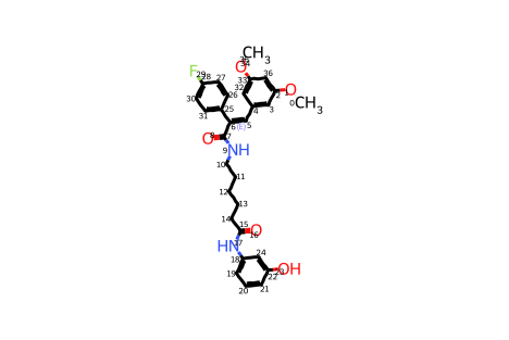 COc1cc(/C=C(/C(=O)NCCCCCC(=O)Nc2cccc(O)c2)c2ccc(F)cc2)cc(OC)c1